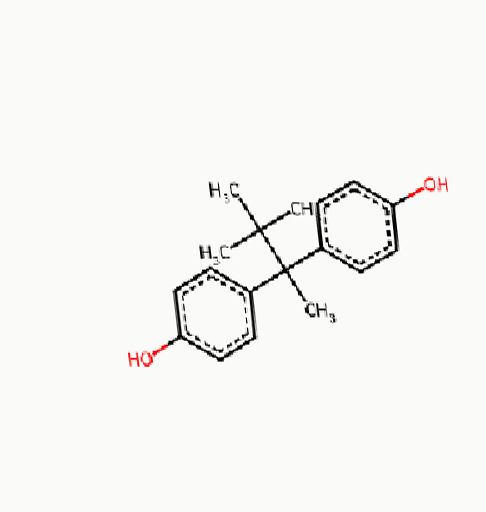 CC(C)(C)C(C)(c1ccc(O)cc1)c1ccc(O)cc1